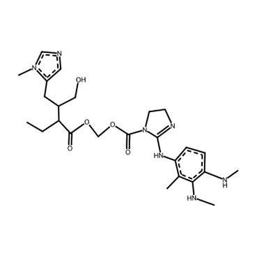 CCC(C(=O)OCOC(=O)N1CCN=C1Nc1ccc(NC)c(NC)c1C)C(CO)Cc1cncn1C